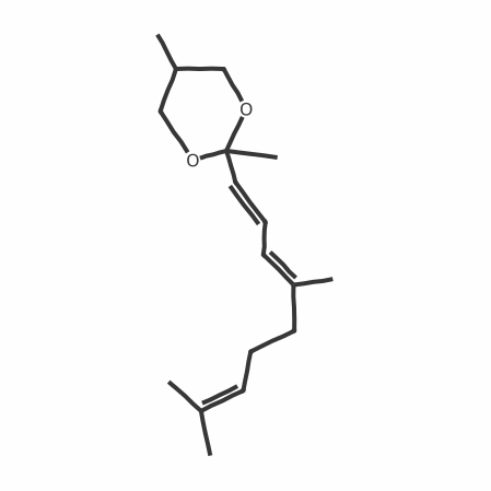 CC(C)=CCC/C(C)=C/C=C/C1(C)OCC(C)CO1